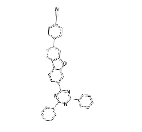 N#Cc1ccc(-c2ccc3c(c2)oc2cc(-c4nc(-c5ccccc5)nc(-c5ccccc5)n4)ccc23)cc1